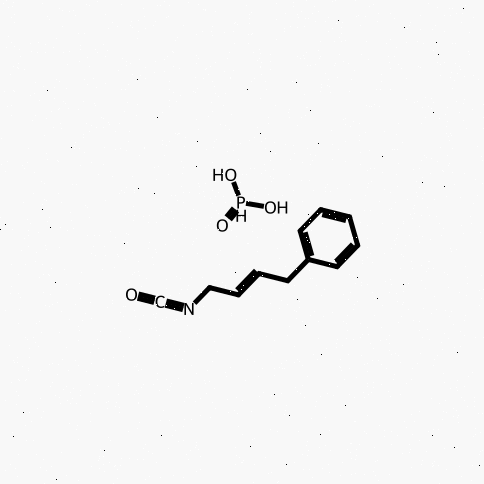 O=C=NCC=CCc1ccccc1.O=[PH](O)O